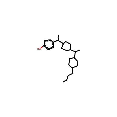 CCCCC1CCC(C(C)C2CCC(C(C)c3ccc(O)cc3)CC2)CC1